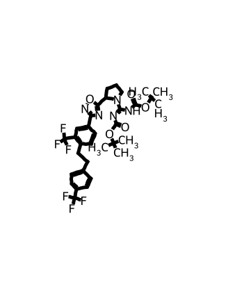 CC(C)(C)OC(=O)N=C(NC(=O)OC(C)(C)C)N1CCCC1c1nc(-c2ccc(CCc3ccc(C(F)(F)F)cc3)c(C(F)(F)F)c2)no1